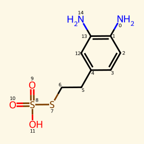 Nc1ccc(CCSS(=O)(=O)O)cc1N